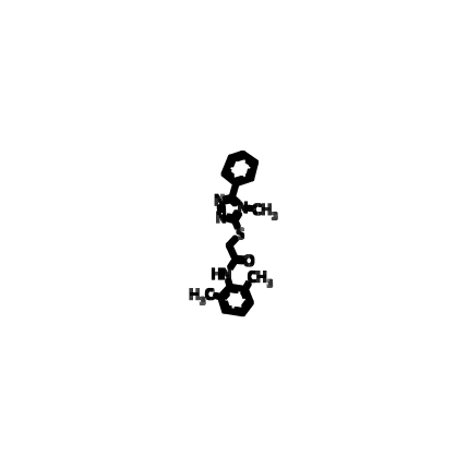 Cc1cccc(C)c1NC(=O)CSc1nnc(-c2ccccc2)n1C